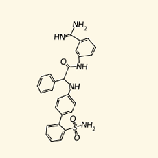 N=C(N)c1cccc(NC(=O)C(Nc2ccc(-c3ccccc3S(N)(=O)=O)cc2)c2ccccc2)c1